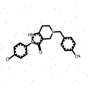 N#Cc1ccc(CN2CCc3[nH]n(-c4ccc(Cl)cc4)c(=O)c3C2)cc1